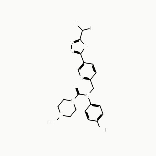 Cc1ccc(N(Cc2ccc(-c3nnc(C(F)F)o3)cn2)C(=O)N2CCN(C)CC2)cc1